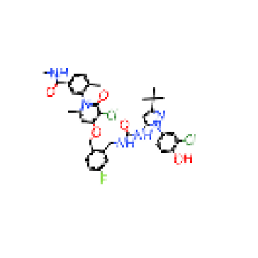 CNC(=O)c1ccc(C)c(-n2c(C)cc(OCc3ccc(F)cc3CNC(=O)Nc3cc(C(C)(C)C)nn3-c3ccc(O)c(Cl)c3)c(Cl)c2=O)c1